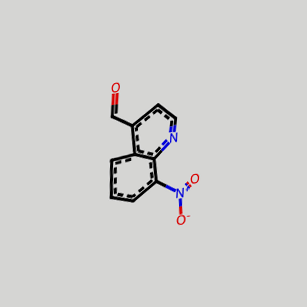 O=Cc1ccnc2c([N+](=O)[O-])cccc12